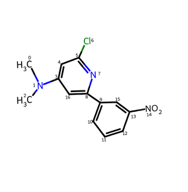 CN(C)c1cc(Cl)nc(-c2cccc([N+](=O)[O-])c2)c1